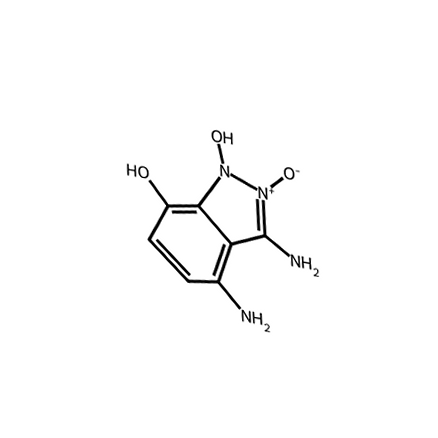 Nc1ccc(O)c2c1c(N)[n+]([O-])n2O